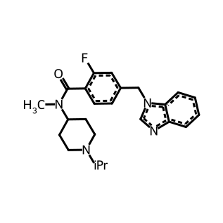 CC(C)N1CCC(N(C)C(=O)c2ccc(Cn3cnc4ccccc43)cc2F)CC1